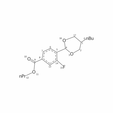 CCCCC1COC(c2ccc(C(=O)OCCC)cc2F)OC1